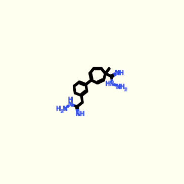 CC1(C(=N)NN)C=CC=C(C2=CCCC(CC(=N)NN)=C2)C=C1